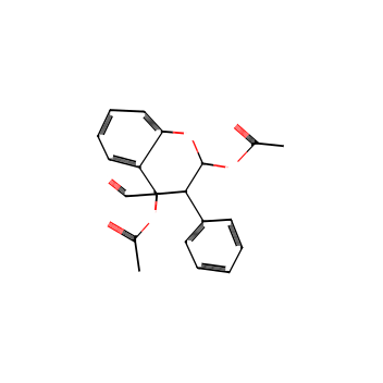 CC(=O)OC1Oc2ccccc2C(C=O)(OC(C)=O)C1c1ccccc1